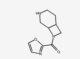 O=C(c1ncco1)N1CC2CCNCC21